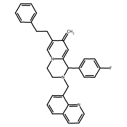 C=C1C=C2C(c3ccc(F)cc3)N(Cc3cccc4cccnc34)CCN2C=C1CCc1ccccc1